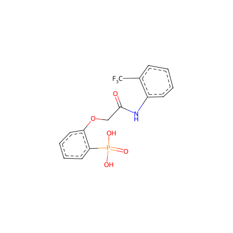 O=C(COc1ccccc1P(=O)(O)O)Nc1ccccc1C(F)(F)F